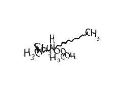 CC(=O)O.CCCCCCCCCCCC(=O)NCCCN(C)C